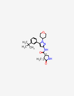 C[C@H]1C(=O)NC[C@@H]1C(=O)Nc1cc(-c2cccc(C(C)(C)C)c2)n(C2CCOCC2)n1